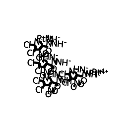 [NH-]N([NH-])C(=O)C1=C([N+](=O)[O-])C(Cl)=C(Cl)[N-]C1.[NH-]N([NH-])C(=O)C1=C([N+](=O)[O-])C(Cl)=C(Cl)[N-]C1.[NH-]N([NH-])C(=O)C1=C([N+](=O)[O-])C(Cl)=C(Cl)[N-]C1.[NH-]N([NH-])C(=O)C1=C([N+](=O)[O-])C(Cl)=C(Cl)[N-]C1.[Pt+4].[Pt+4].[Pt+4]